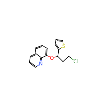 ClCCC(Oc1cccc2cccnc12)c1cccs1